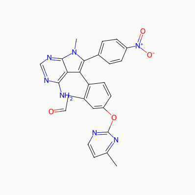 Cc1ccnc(Oc2ccc(-c3c(-c4ccc([N+](=O)[O-])cc4)n(C)c4ncnc(N)c34)c(CC=O)c2)n1